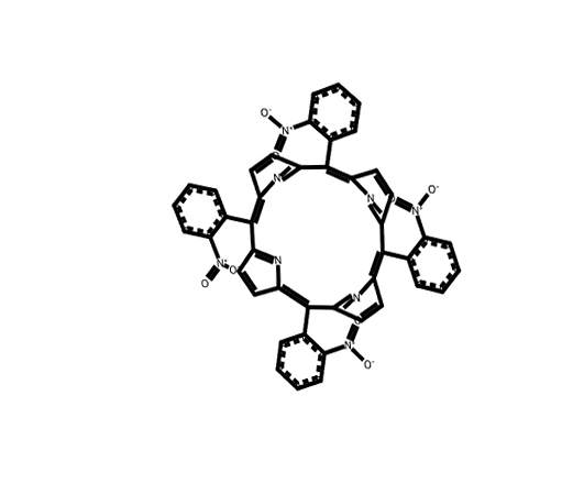 O=[N+]([O-])c1ccccc1C1=C2C=CC(=N2)C(c2ccccc2[N+](=O)[O-])=C2C=CC(=N2)C(c2ccccc2[N+](=O)[O-])=C2C=CC(=N2)C(c2ccccc2[N+](=O)[O-])=C2C=CC1=N2